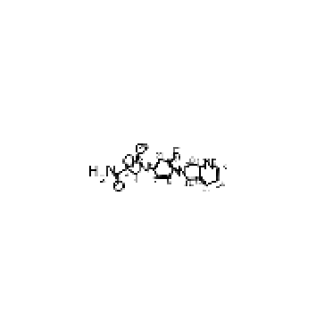 NC(=O)C1CN(c2ccc(N3Cc4cccnc4C3)c(F)c2)C(=O)O1